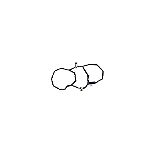 C1=C2\CC(CCCC/1)NC1CCCCCCC(CC1)S2